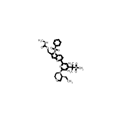 CC[C@H]1COCCN1c1cc(C(C)(C)S(C)(=O)=O)cc(-c2ccc3c(cc(COC(=O)NC)n3S(=O)(=O)c3ccccc3)n2)n1